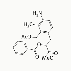 COC(=O)C(Cc1ccc(N)c(C)c1COC(C)=O)OC(=O)c1ccccc1